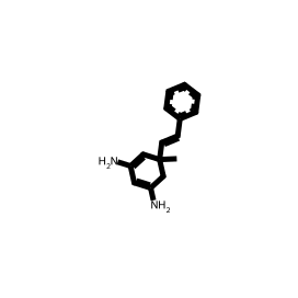 CC1(C=Cc2ccccc2)C=C(N)C=C(N)C1